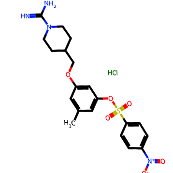 Cc1cc(OCC2CCN(C(=N)N)CC2)cc(OS(=O)(=O)c2ccc([N+](=O)[O-])cc2)c1.Cl